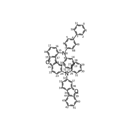 c1ccc(-c2ccc(N(c3ccccc3)c3cccc4oc5ccc(N(c6ccccc6)c6ccc7c(c6)oc6ccccc67)cc5c34)cc2)cc1